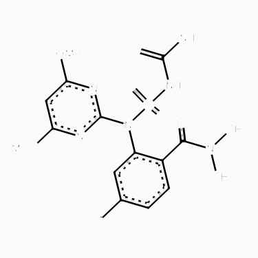 COc1cc(OC)nc(N(c2cc(Cl)ccc2C(=O)N(C)C)S(=O)(=O)NC(N)=O)n1